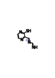 N=C/N=C/c1nccnc1S